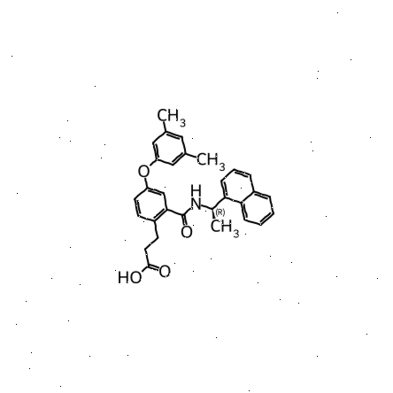 Cc1cc(C)cc(Oc2ccc(CCC(=O)O)c(C(=O)N[C@H](C)c3cccc4ccccc34)c2)c1